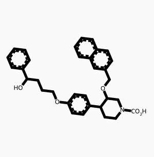 O=C(O)N1CCC(c2ccc(OCCCC(O)c3ccccc3)cc2)C(OCc2ccc3ccccc3c2)C1